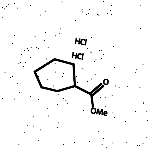 COC(=O)C1CCCCC1.Cl.Cl